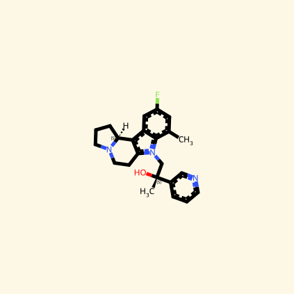 Cc1cc(F)cc2c3c(n(C[C@@](C)(O)c4cccnc4)c12)CCN1CCC[C@@H]31